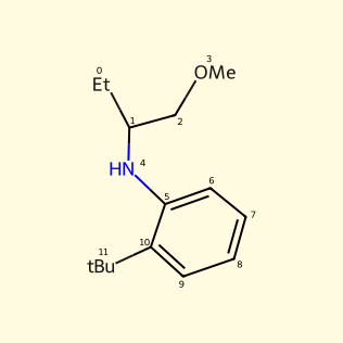 CCC(COC)Nc1ccccc1C(C)(C)C